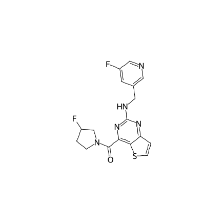 O=C(c1nc(NCc2cncc(F)c2)nc2ccsc12)N1CCC(F)C1